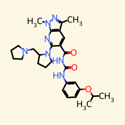 Cc1nn(C)c2nc(N3CCCC3CN3CCCC3)c(C(=O)NC(=O)Nc3cccc(OC(C)C)c3)cc12